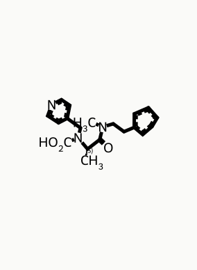 C[C@@H](C(=O)N(C)CCc1ccccc1)N(Cc1ccncc1)C(=O)O